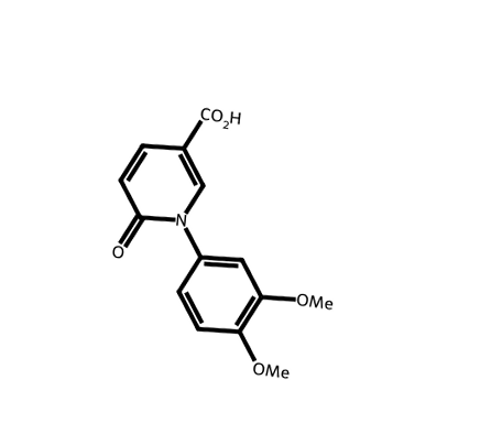 COc1ccc(-n2cc(C(=O)O)ccc2=O)cc1OC